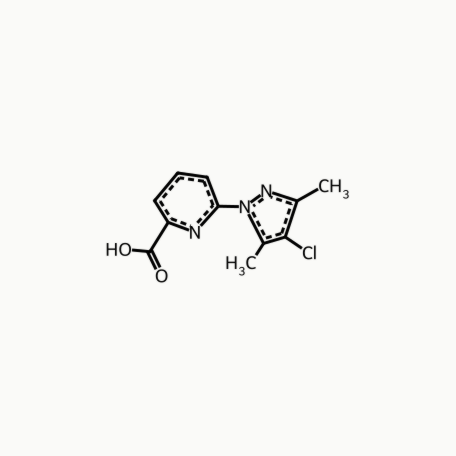 Cc1nn(-c2cccc(C(=O)O)n2)c(C)c1Cl